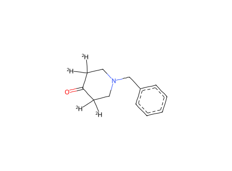 [2H]C1([2H])CN(Cc2ccccc2)CC([2H])([2H])C1=O